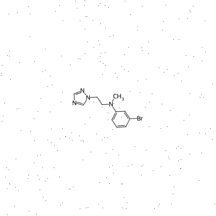 CN(CCn1cncn1)c1cccc(Br)c1